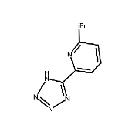 CC(C)c1cccc(-c2nnn[nH]2)n1